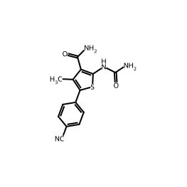 Cc1c(-c2ccc(C#N)cc2)sc(NC(N)=O)c1C(N)=O